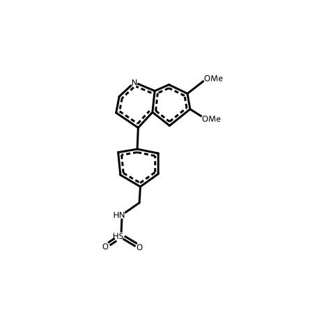 COc1cc2nccc(-c3ccc(CN[SH](=O)=O)cc3)c2cc1OC